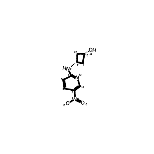 O=[N+]([O-])c1ccc(N[C@H]2C[C@@H](O)C2)nc1